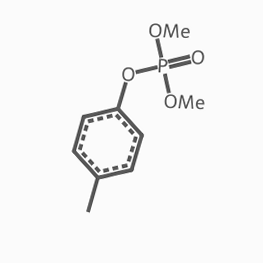 COP(=O)(OC)Oc1ccc(C)cc1